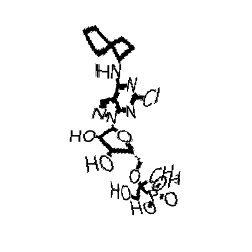 CC(CO)(OC[C@H]1O[C@@H](n2ncc3c(N[C@@H]4CCC45CCC5)nc(Cl)nc32)[C@H](O)[C@@H]1O)P(=O)(O)O